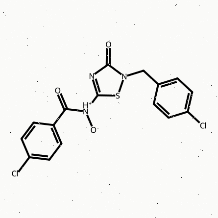 O=C(c1ccc(Cl)cc1)[NH+]([O-])c1nc(=O)n(Cc2ccc(Cl)cc2)s1